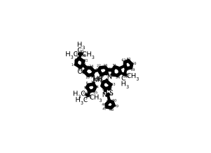 CC(C)(C)c1ccc(Nc2cc3oc4ccc(C(C)(C)C)cc4c3cc2-c2ccc3c4cc5c(cc4n4c3c2Bc2cc3nc(-c6ccccc6)sc3cc2-4)C(C)(C)c2ccccc2-5)cc1